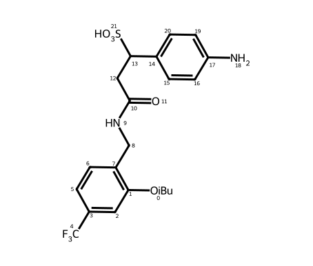 CC(C)COc1cc(C(F)(F)F)ccc1CNC(=O)CC(c1ccc(N)cc1)S(=O)(=O)O